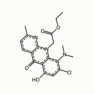 CCOC(=O)Cn1c2nc(C)ccc2c(=O)c2c(O)cc(Cl)c(N(C)C)c21